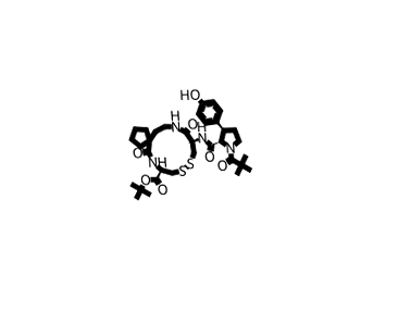 CC(C)(C)OC(=O)[C@@H]1CSSC[C@H](NC(=O)[C@@H]2[C@@H](c3ccc(O)cc3)CCN2C(=O)C(C)(C)C)C(=O)NCCC2(CCCC2)C(=O)N1